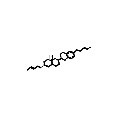 C/C=C/CCc1ccc2c(c1)CCC(C1CCC3C[C@H](CC/C=C/C)CC[C@@H]3C1)C2